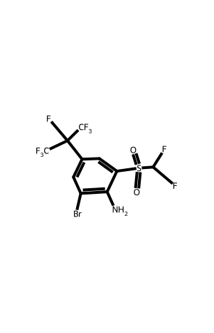 Nc1c(Br)cc(C(F)(C(F)(F)F)C(F)(F)F)cc1S(=O)(=O)C(F)F